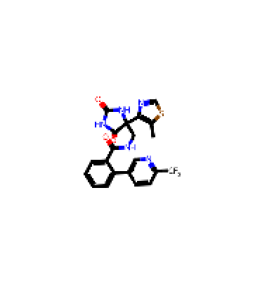 Cc1scnc1C1(CNC(=O)c2ccccc2-c2ccc(C(F)(F)F)nc2)NC(=O)NC1=O